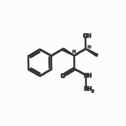 C[C@H](O)[C@H](Cc1ccccc1)C(=O)NN